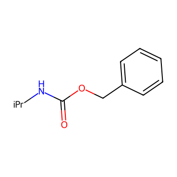 [CH2]C(C)NC(=O)OCc1ccccc1